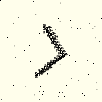 [Cu+2].[Cu+2].[In+3].[In+3].[O-2].[O-2].[O-2].[O-2].[O-2].[O-2].[O-2].[O-2].[O-2].[O-2].[O-2].[Sn+4].[Sn+4].[Zn+2].[Zn+2]